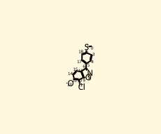 CSc1ccc(-c2noc3c(Cl)c([O])ccc23)cc1